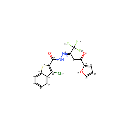 O=C(C/C(=N\NC(=O)c1sc2ccccc2c1Cl)C(F)(F)F)c1ccco1